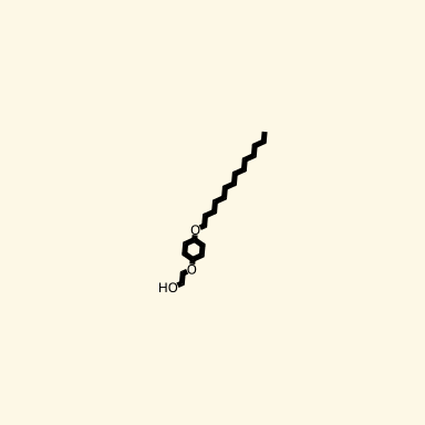 CCCCCCCCCCCCCCOC1CCC(OCCO)CC1